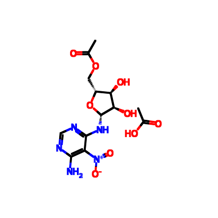 CC(=O)O.CC(=O)OC[C@H]1O[C@@H](Nc2ncnc(N)c2[N+](=O)[O-])[C@H](O)[C@@H]1O